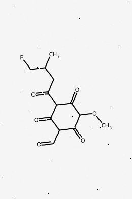 COC1C(=O)C(C=O)C(=O)C(C(=O)CC(C)CF)C1=O